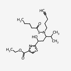 C#CCCCN(SC(=O)CCCC)C(CC(O)c1nc(C(=O)OCC)cs1)C(C)C